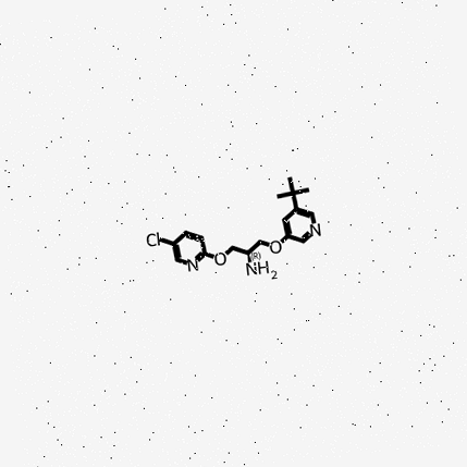 CC(C)(C)c1cncc(OC[C@@H](N)COc2ccc(Cl)cn2)c1